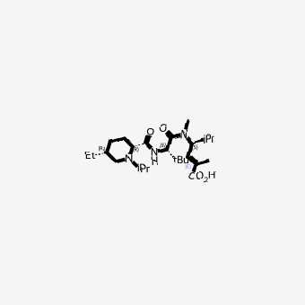 CC[C@@H]1CC[C@H](C(=O)N[C@H](C(=O)N(C)[C@H](/C=C(\C)C(=O)O)C(C)C)C(C)(C)C)N(C(C)C)C1